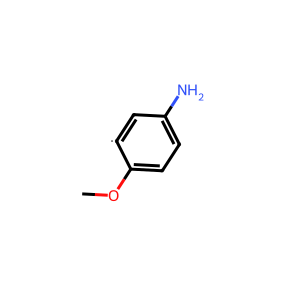 COc1[c]cc(N)cc1